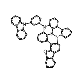 c1cc(N2c3cccc4c3B3c5c(cccc52)-c2c(ccc5c2oc2ccccc25)N3c2ccccc2-4)cc(-n2c3ccccc3c3ccccc32)c1